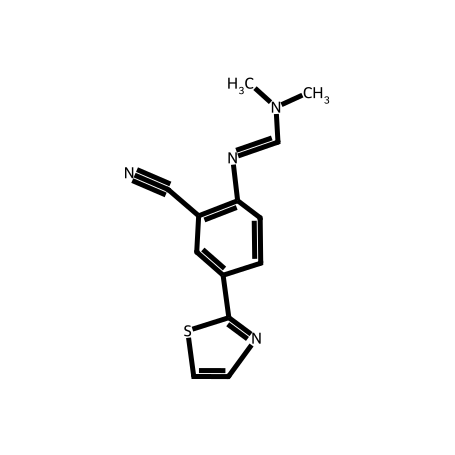 CN(C)C=Nc1ccc(-c2nccs2)cc1C#N